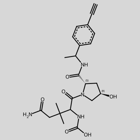 C#Cc1ccc(C(C)NC(=O)[C@@H]2C[C@@H](O)CN2C(=O)C(NC(=O)O)C(C)(C)CC(N)=O)cc1